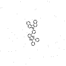 c1ccc(-c2nc3cccc(-c4cccc(-n5c6ccc7ccccc7c6c6c7ccccc7ccc65)c4)c3nc2-c2ccccc2)cc1